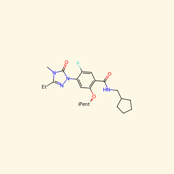 CCC[C@H](C)Oc1cc(-n2nc(CC)n(C)c2=O)c(F)cc1C(=O)NCC1CCCC1